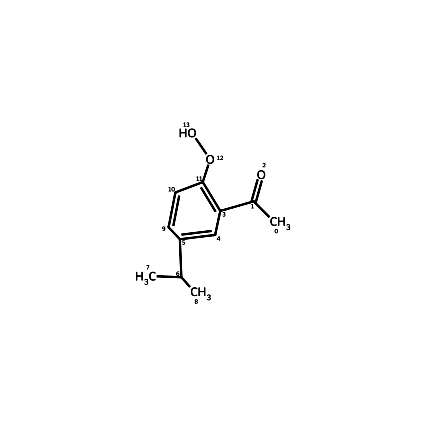 CC(=O)c1cc(C(C)C)ccc1OO